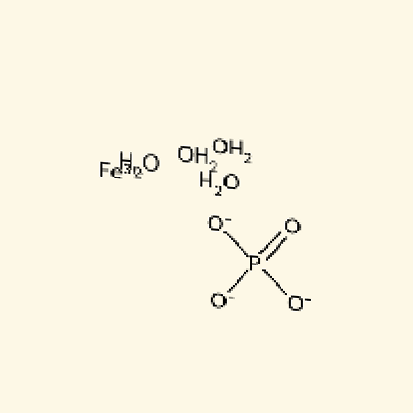 O.O.O.O.O=P([O-])([O-])[O-].[Fe+3]